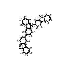 c1ccc2c(c1)sc1cc(-n3c4ccccc4c4cc(-c5ccc6sc7ccccc7c6c5)ccc43)ccc12